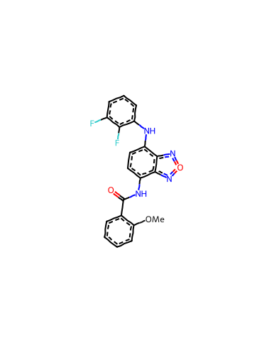 COc1ccccc1C(=O)Nc1ccc(Nc2cccc(F)c2F)c2nonc12